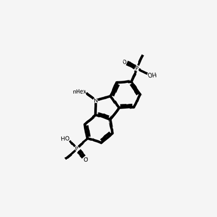 CCCCCCn1c2cc(P(C)(=O)O)ccc2c2ccc(P(C)(=O)O)cc21